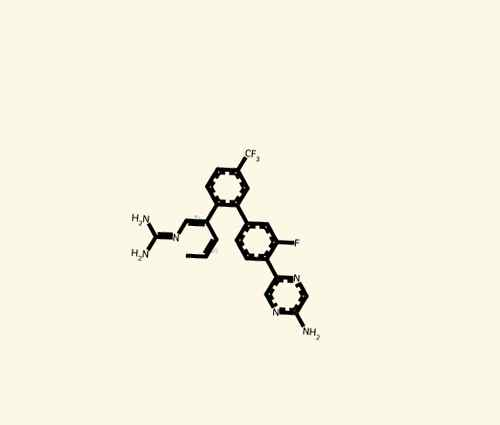 C/C=C\C(=C/N=C(N)N)c1ccc(C(F)(F)F)cc1-c1ccc(-c2cnc(N)cn2)c(F)c1